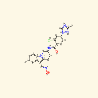 Cc1ccc2c(c1)c(/C=N/O)c1n2CC(NC(=O)c2ccc(-n3cnc(C)n3)cc2Cl)CC1